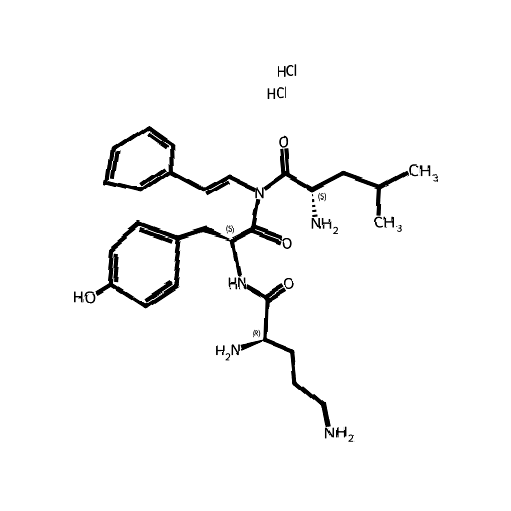 CC(C)C[C@H](N)C(=O)N(C=Cc1ccccc1)C(=O)[C@H](Cc1ccc(O)cc1)NC(=O)[C@H](N)CCCN.Cl.Cl